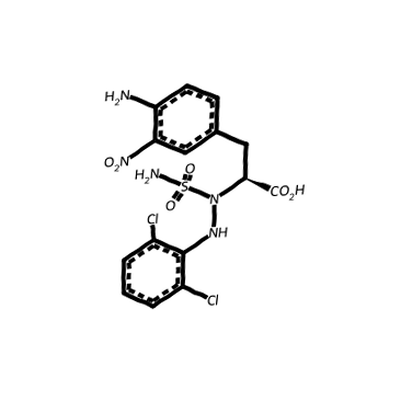 Nc1ccc(C[C@@H](C(=O)O)N(Nc2c(Cl)cccc2Cl)S(N)(=O)=O)cc1[N+](=O)[O-]